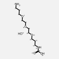 Cl.NCCCOCCOCCOCCCNC(=O)O